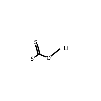 COC(=S)[S-].[Li+]